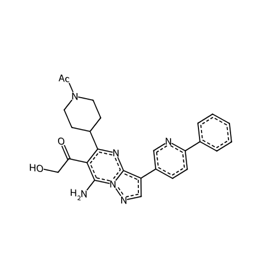 CC(=O)N1CCC(c2nc3c(-c4ccc(-c5ccccc5)nc4)cnn3c(N)c2C(=O)CO)CC1